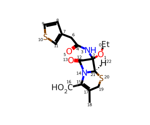 CCOC1(NC(=O)Cc2ccsc2)C(=O)N2C(C(=O)O)=C(C)CS[C@@H]21